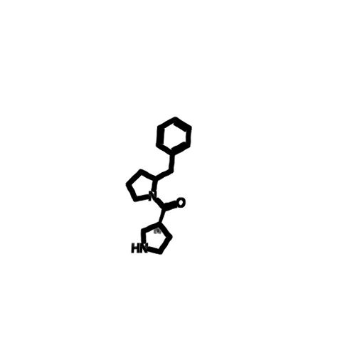 O=C([C@H]1CCNC1)N1CCCC1Cc1ccccc1